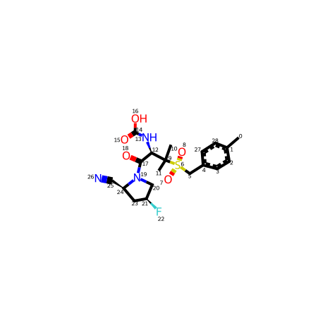 Cc1ccc(CS(=O)(=O)C(C)(C)[C@H](NC(=O)O)C(=O)N2C[C@@H](F)C[C@H]2C#N)cc1